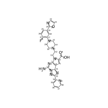 Nc1nc2c(cc(C(=O)O)n2CCN2CCN(c3cc(-c4ncco4)ccc3F)CC2)c2nc(-c3ccccn3)nn12